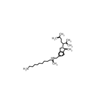 C=C(C)CCC(C(=C)C)N1Cc2cc(CNC(=C)CCCCCCCCCN)ccc2C1=C